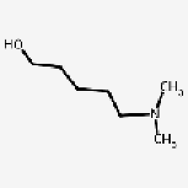 CN(C)CCC[CH]CO